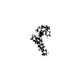 C1=CC2=C(CC1)C1(c3ccccc3Sc3ccccc31)c1ccc(-c3nc(-c4ccc(-c5ccccc5)cc4)nc4ccccc34)cc12